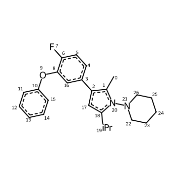 Cc1c(-c2ccc(F)c(Oc3ccccc3)c2)cc(C(C)C)n1N1CCCCC1